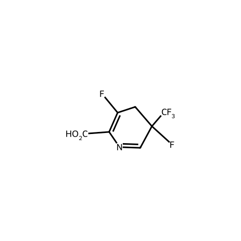 O=C(O)C1=C(F)CC(F)(C(F)(F)F)C=N1